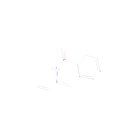 C=Cc1cc2ccccc2c(=O)[nH]1